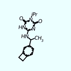 CC(Nc1nc(=O)n(C(C)C)c(=O)[nH]1)c1ccc2c(c1)CC2